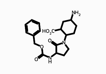 NC1CCC(N2CCC(NC(=O)OCc3ccccc3)C2=O)C(C(=O)O)C1